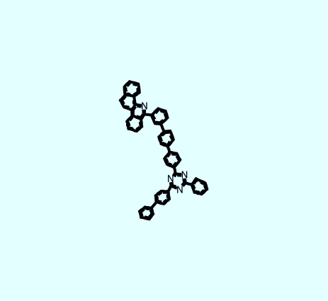 c1ccc(-c2ccc(-c3nc(-c4ccccc4)nc(-c4ccc(-c5ccc(-c6cccc(-c7nc8c9ccccc9ccc8c8ccccc78)c6)cc5)cc4)n3)cc2)cc1